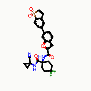 N#CC1(NC(=O)C2(NC(=O)c3cc4ccc(-c5ccc6c(c5)C=CS6(=O)=O)cc4o3)CCC(F)(F)CC2)CC1